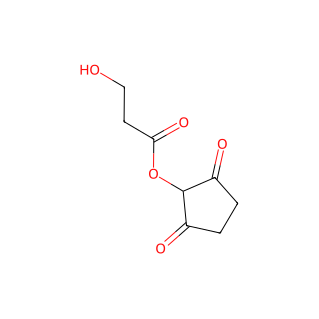 O=C(CCO)OC1C(=O)CCC1=O